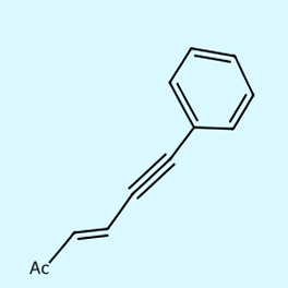 CC(=O)C=CC#Cc1ccccc1